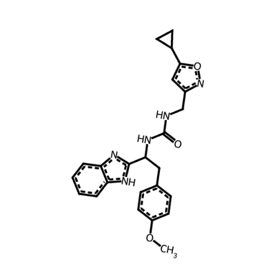 COc1ccc(CC(NC(=O)NCc2cc(C3CC3)on2)c2nc3ccccc3[nH]2)cc1